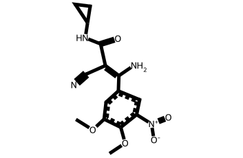 COc1cc(/C(N)=C(\C#N)C(=O)NC2CC2)cc([N+](=O)[O-])c1OC